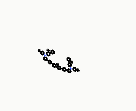 CC(C)(C)c1ccc(N(C2=CC=C(c3ccccc3)C(C(C)(C)C)C2)c2cccc(-c3ccc(-c4ccc5c(c4)C(C)(C)c4cc(-c6ccc(-c7cccc(N(c8ccc(C(C)(C)C)cc8)c8ccc9c(c8)C(C)(C)c8ccccc8-9)c7)cc6)ccc4-5)cc3)c2)cc1